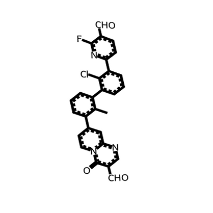 Cc1c(-c2ccn3c(=O)c(C=O)cnc3c2)cccc1-c1cccc(-c2ccc(C=O)c(F)n2)c1Cl